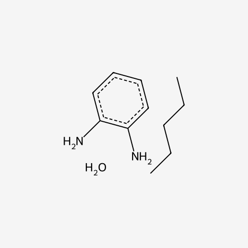 CCCCC.Nc1ccccc1N.O